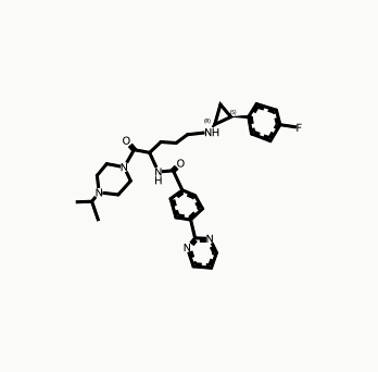 CC(C)N1CCN(C(=O)C(CCCN[C@@H]2C[C@H]2c2ccc(F)cc2)NC(=O)c2ccc(-c3ncccn3)cc2)CC1